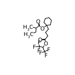 CCC(C)C(=O)OC1(CCCC(=O)OC(C(F)(F)F)C(F)(F)F)CCCCC1